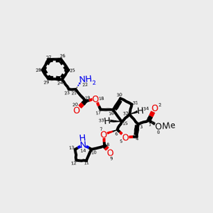 COC(=O)C1=CO[C@@H](OC(=O)C2CCCN2)[C@@H]2C(COC(=O)[C@@H](N)Cc3ccccc3)=CC[C@H]12